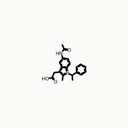 CC(=O)Nc1ccc2c(c1)c(CC(=O)O)c(C)n2C(C)c1ccccc1